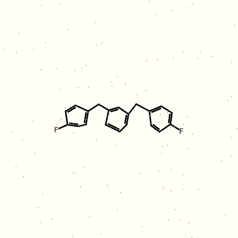 Fc1ccc(Cc2cccc(Cc3ccc(F)cc3)c2)cc1